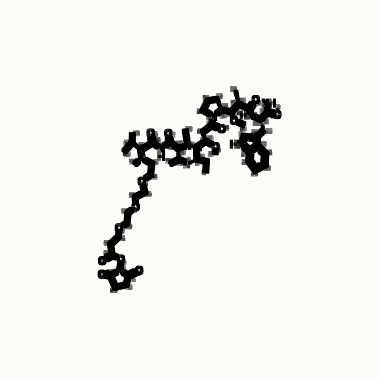 CC[C@H](C)[C@@H]([C@@H](CC(=O)N1CCC[C@H]1[C@H](OC)[C@@H](C)C(=O)N[C@@H](Cc1c[nH]c2ccccc12)C(N)=O)OC)N(C)[C@H](C(=O)NC(=O)[C@H](C(C)C)N(C)CCOCCOCCOCCC(=O)ON1C(=O)CCC1=O)C(C)C